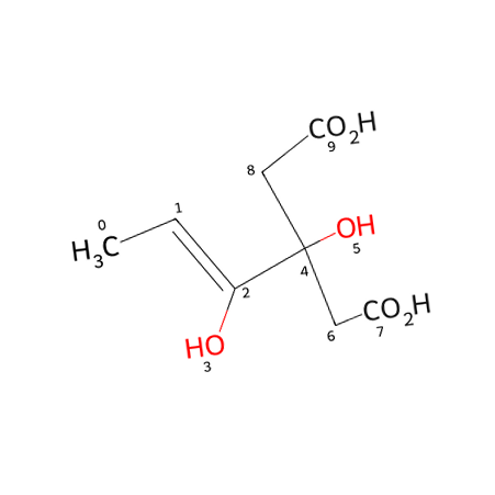 CC=C(O)C(O)(CC(=O)O)CC(=O)O